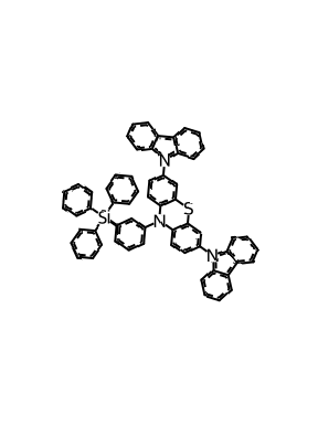 c1ccc([Si](c2ccccc2)(c2ccccc2)c2cccc(N3c4ccc(-n5c6ccccc6c6ccccc65)cc4Sc4cc(-n5c6ccccc6c6ccccc65)ccc43)c2)cc1